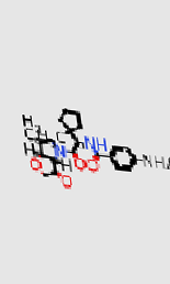 CC(=O)Nc1ccc(C(=O)N[C@H](C(=O)N2C[C@@H](C)[C@H]3OCC(=O)[C@H]32)C2(C)CCCC2)cc1